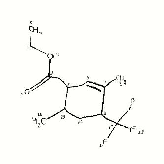 CCOC(=O)C1C=C(C)C(C(F)(F)F)CC1C